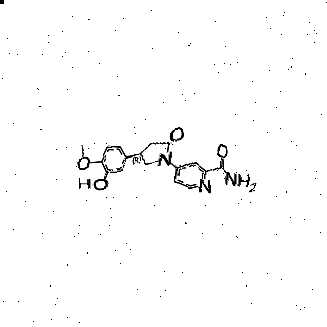 COc1ccc([C@H]2CC(=O)N(c3ccnc(C(N)=O)c3)C2)cc1O